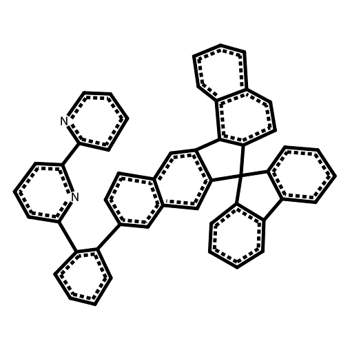 c1ccc(-c2cccc(-c3ccccc3-c3ccc4cc5c(cc4c3)C3(c4ccccc4-c4ccccc43)c3ccc4ccccc4c3-5)n2)nc1